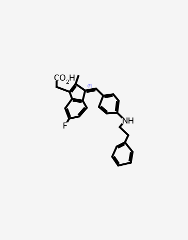 CC1=C(CC(=O)O)c2cc(F)ccc2/C1=C\c1ccc(NCCc2ccccc2)cc1